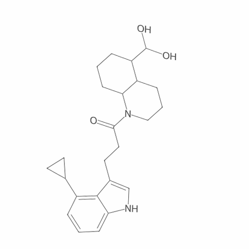 O=C(CCc1c[nH]c2cccc(C3CC3)c12)N1CCCC2C(C(O)O)CCCC21